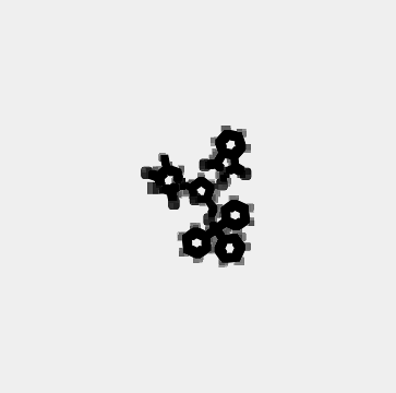 Cc1cn([C@H]2C[C@H](ON3C(=O)c4ccccc4C3=O)[C@@H](COC(c3ccccc3)(c3ccccc3)c3ccccc3)O2)c(=O)[nH]c1=O